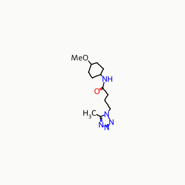 COC1CCC(NC(=O)CCCn2nnnc2C)CC1